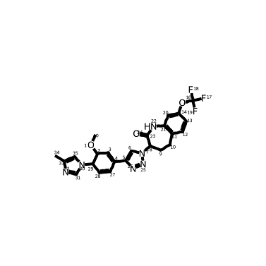 COC1C=C(c2cn(C3CCc4ccc(OC(F)(F)F)cc4NC3=O)nn2)C=CC1n1cnc(C)c1